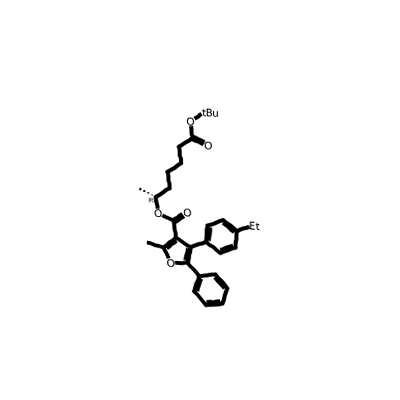 CCc1ccc(-c2c(-c3ccccc3)oc(C)c2C(=O)O[C@H](C)CCCCC(=O)OC(C)(C)C)cc1